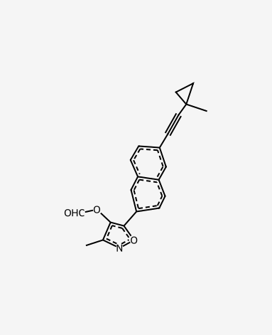 Cc1noc(-c2ccc3cc(C#CC4(C)CC4)ccc3c2)c1OC=O